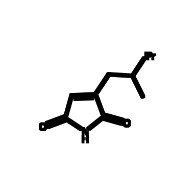 CC(C)C(C)CC1=CC(=O)NC1=O